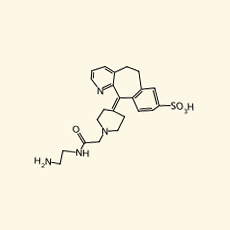 NCCNC(=O)CN1CCC(=C2c3ccc(S(=O)(=O)O)cc3CCc3cccnc32)CC1